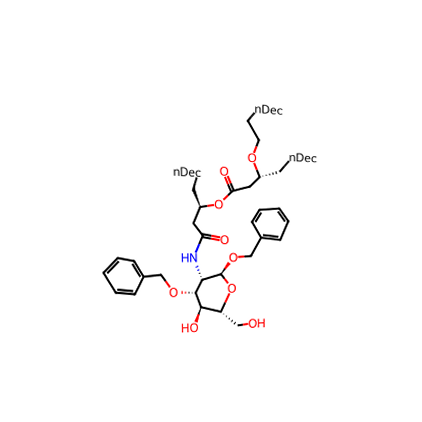 CCCCCCCCCCCCO[C@H](CCCCCCCCCCC)CC(=O)O[C@H](CCCCCCCCCCC)CC(=O)N[C@@H]1[C@@H](OCc2ccccc2)O[C@H](CO)[C@@H](O)[C@@H]1OCc1ccccc1